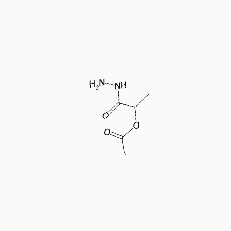 CC(=O)OC(C)C(=O)NN